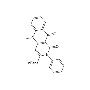 CCCCCc1cc2c(c(=O)c3ccccc3n2C)c(=O)n1-c1ccccc1